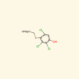 CCCCCCCCSc1c(Cl)cc(O)c(Cl)c1Cl